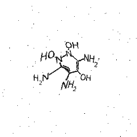 NC1=C(N)N(O)N(O)C(N)=C1O